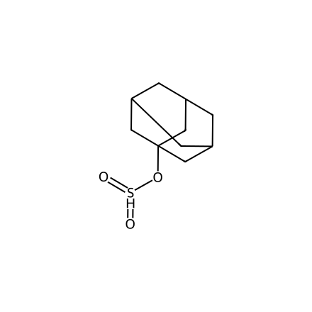 O=[SH](=O)OC12CC3CC(CC(C3)C1)C2